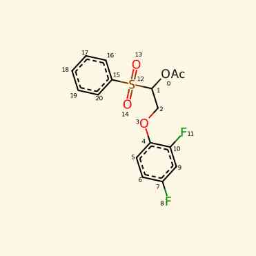 CC(=O)OC(COc1ccc(F)cc1F)S(=O)(=O)c1ccccc1